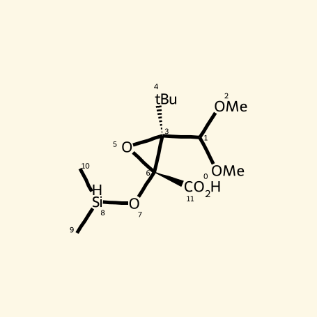 COC(OC)[C@]1(C(C)(C)C)O[C@]1(O[SiH](C)C)C(=O)O